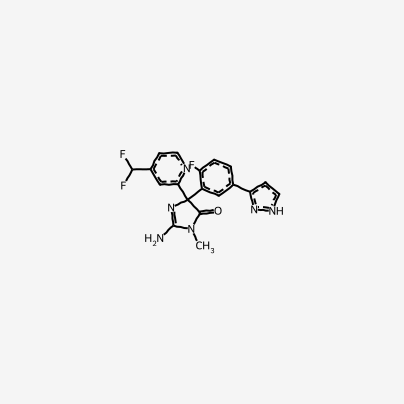 CN1C(=O)C(c2cc(C(F)F)ccn2)(c2cc(-c3cc[nH]n3)ccc2F)N=C1N